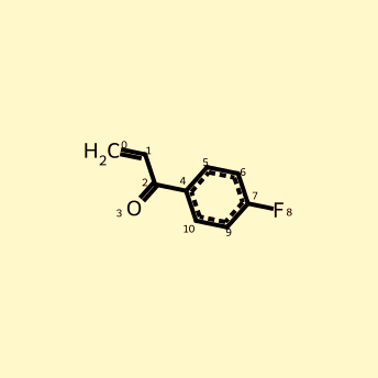 C=CC(=O)c1ccc(F)cc1